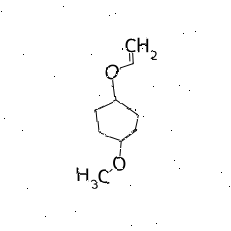 C=COC1CCC(OC)CC1